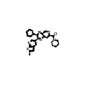 Cn1cc2cc(-c3nc4cc(C(=O)N5CCCCC5)ncc4nc3-c3ccccc3)cnc2n1